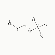 CC(Cl)(Cl)Cl.CCCl